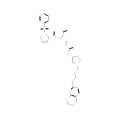 O=C(CC[C@H](NC(=O)[C@@H]1CCCN1S(=O)(=O)c1ccccc1)C(=O)O)N[C@H]1CCN(CCCCc2ccc3c(n2)NCCC3)C1